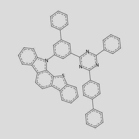 c1ccc(-c2ccc(-c3nc(-c4ccccc4)nc(-c4cc(-c5ccccc5)cc(-n5c6ccccc6c6ccc7c8ccccc8sc7c65)c4)n3)cc2)cc1